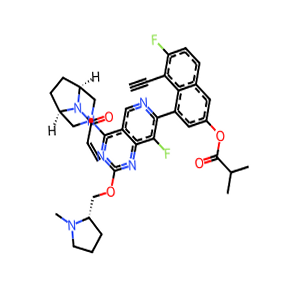 C#Cc1c(F)ccc2cc(OC(=O)C(C)C)cc(-c3ncc4c(N5C[C@H]6CC[C@@H](C5)N6C(=O)C=C)nc(OC[C@@H]5CCCN5C)nc4c3F)c12